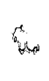 CCC(N)CC[C@H](C)Oc1ccc(OCc2cccc(NC(=O)c3cc4sccc4n3C)c2)cc1